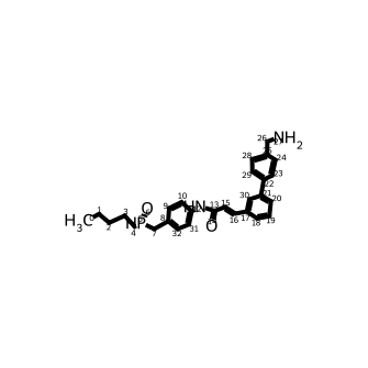 CCCCC[PH](=O)Cc1ccc(NC(=O)/C=C/c2cccc(-c3ccc(CN)cc3)c2)cc1